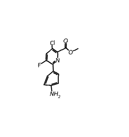 COC(=O)c1nc(-c2ccc(N)cc2)c(F)cc1Cl